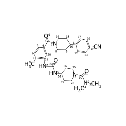 Cc1ccc(C(=O)N2CCC(c3ccc(C#N)cc3)CC2)cc1NC(=O)NC1CCN(C(=O)N(C)C)CC1